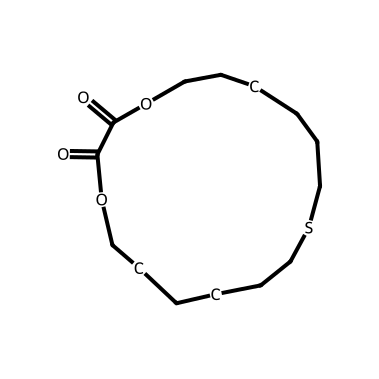 O=C1OCCCCCCSCCCCCCOC1=O